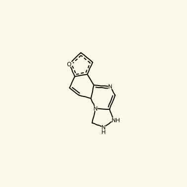 C1=CC2C(=NC=C3NNCN32)c2ccoc21